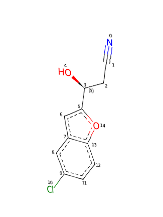 N#CC[C@H](O)c1cc2cc(Cl)ccc2o1